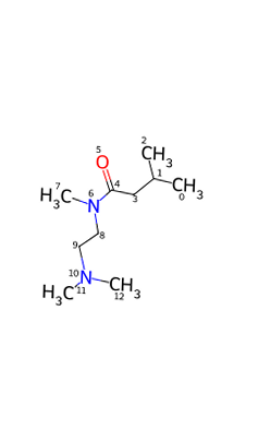 CC(C)CC(=O)N(C)CCN(C)C